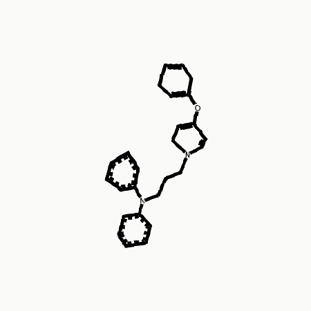 C1=CCC(OC2=CCN(CCCN(c3ccccc3)c3ccccc3)C=C2)=CC1